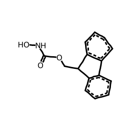 O=C(NO)OCC1c2ccccc2-c2ccccc21